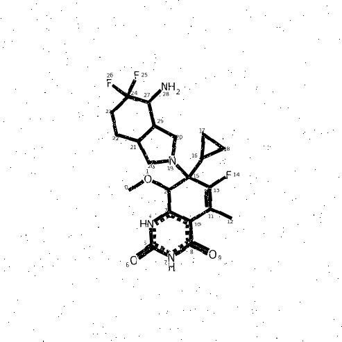 COC1c2[nH]c(=O)[nH]c(=O)c2C(C)=C(F)C1(C1CC1)N1CC2CCC(F)(F)C(N)C2C1